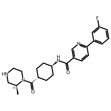 C[C@H]1CNCCN1C(=O)[C@H]1CC[C@H](NC(=O)c2ccc(-c3cccc(F)c3)nc2)CC1